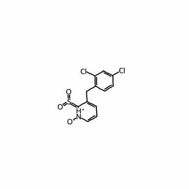 O=S(=O)=C1C(Cc2ccc(Cl)cc2Cl)=CC=C[NH+]1[O-]